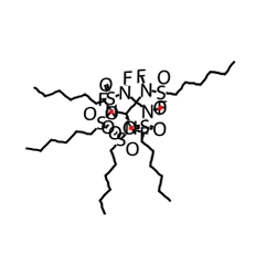 CCCCCCS(=O)(=O)N(F)[C](N(F)S(=O)(=O)CCCCCC)C(N(F)S(=O)(=O)CCCCCC)(N(F)S(=O)(=O)CCCCCC)N(F)S(=O)(=O)CCCCCC